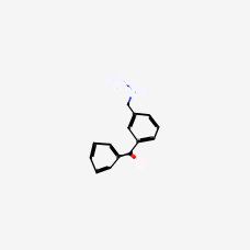 NNCc1cccc(C(=O)c2ccccc2)c1